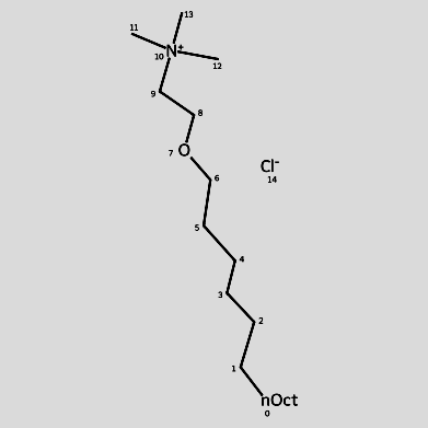 CCCCCCCCCCCCCCOCC[N+](C)(C)C.[Cl-]